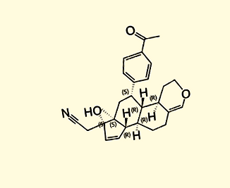 CC(=O)c1ccc([C@H]2C[C@@]3(C)[C@@H](C=C[C@@]3(O)CC#N)[C@@H]3CCC4=COCC[C@@H]4[C@H]32)cc1